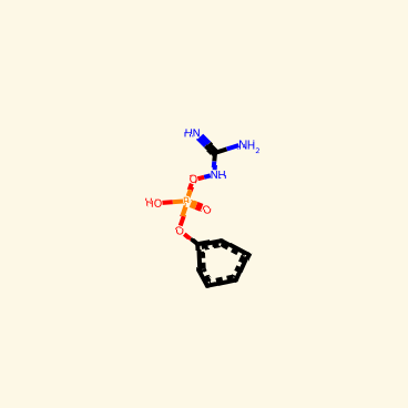 N=C(N)NOP(=O)(O)Oc1ccccc1